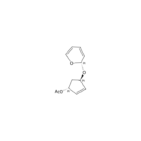 CC(=O)O[C@H]1C=C[C@H](O[C@H]2C=CC=CO2)C1